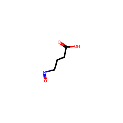 O=NCCCC(=O)O